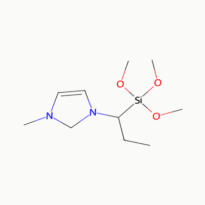 CCC(N1C=CN(C)C1)[Si](OC)(OC)OC